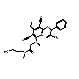 CCc1c(C#N)c(SC(C(N)=O)c2ccccc2)nc(N(C)CC(=O)N(C)CCCO)c1C#N